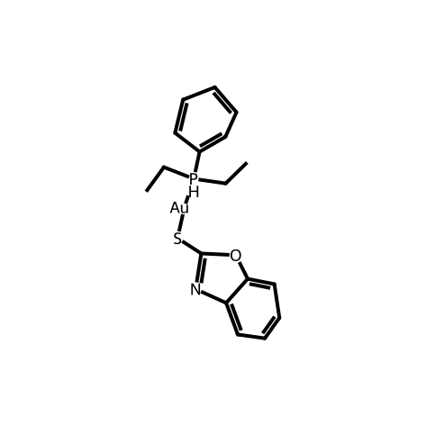 CC[PH](CC)([Au][S]c1nc2ccccc2o1)c1ccccc1